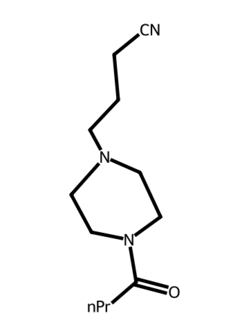 CCCC(=O)N1CCN(CCCC#N)CC1